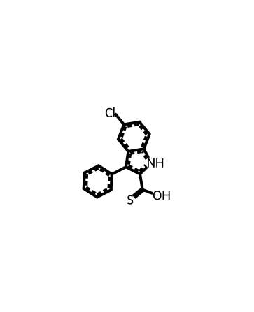 OC(=S)c1[nH]c2ccc(Cl)cc2c1-c1ccccc1